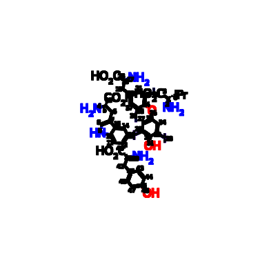 CC(C)[C@H](N)C(=O)O.N[C@@H](Cc1c[nH]c2ccccc12)C(=O)O.N[C@@H](Cc1cc(I)c(Oc2cc(I)c(O)c(I)c2)c(I)c1)C(=O)O.N[C@@H](Cc1ccc(O)cc1)C(=O)O